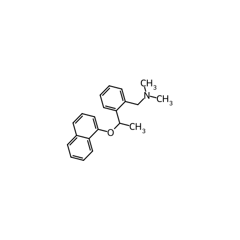 CC(Oc1cccc2ccccc12)c1ccccc1CN(C)C